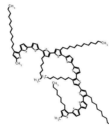 CCCCCCCCCCCCc1cc(C)sc1-c1ccc(-c2ccc(-c3sc(-c4cc(CCCCCCCCCCCC)c(-c5ccc(-c6ccc(-c7sc(-c8cc(CCCCCCCCCCCC)c(-c9ccc(-c%10ccc(-c%11sc(C)cc%11CCCCCCC)s%10)s9)s8)cc7CCCCCCC)s6)s5)s4)cc3CCCCCCC)s2)s1